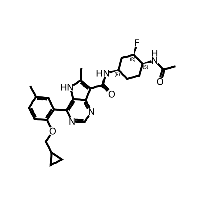 CC(=O)N[C@H]1CC[C@@H](NC(=O)c2c(C)[nH]c3c(-c4cc(C)ccc4OCC4CC4)ncnc23)C[C@H]1F